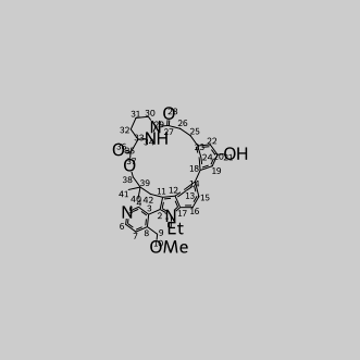 CCn1c(-c2cnccc2COC)c2c3cc(ccc31)-c1cc(O)cc(c1)CCC(=O)N1CCCC(N1)C(=O)OCC(C)(C)C2